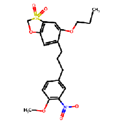 CCCOc1cc2c(cc1CCCc1ccc(OC)c([N+](=O)[O-])c1)OCS2(=O)=O